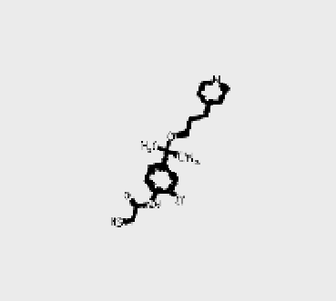 CC(C)(OCCCc1ccncc1)c1ccc(NC(=O)CS)c(Cl)c1